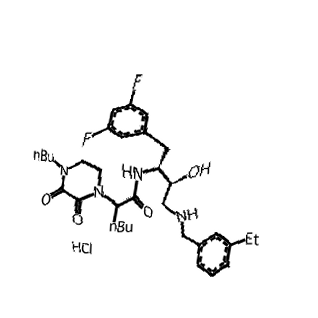 CCCCC(C(=O)N[C@@H](Cc1cc(F)cc(F)c1)[C@@H](O)CNCc1cccc(CC)c1)N1CCN(CCCC)C(=O)C1=O.Cl